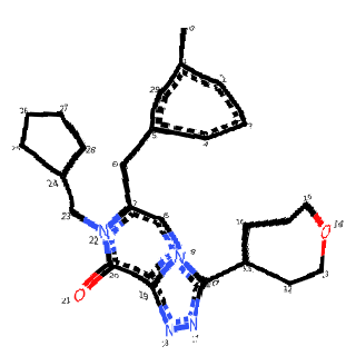 Cc1cccc(Cc2cn3c(C4CCOCC4)nnc3c(=O)n2CC2CCCC2)c1